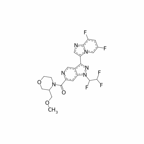 COCC1COCCN1C(=O)c1cc2c(cn1)c(-c1cnc3c(F)cc(F)cn13)nn2C(F)C(F)F